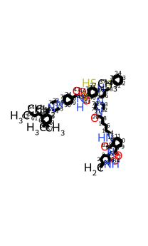 C=C1CCC(N2C(=O)c3cccc(NCCCCCC(=O)N4CCN(CCC(CSc5ccccc5)N(C)c5ccc(S(=O)(=O)NC(=O)c6ccc(N7CCN(CC8=C(C(=C)CC(C)C)CC(C)(C)CC8)CC7)cc6)cc5S)CC4)c3C2=O)C(=O)N1